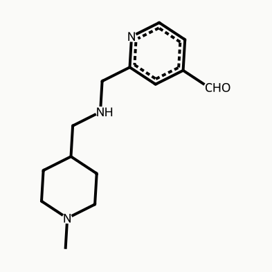 CN1CCC(CNCc2cc(C=O)ccn2)CC1